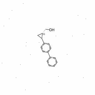 OC[C@H]1CC1c1ccc(-c2ccccc2)cc1